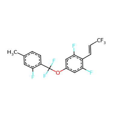 Cc1ccc(C(F)(F)Oc2cc(F)c(/C=C/C(F)(F)F)c(F)c2)c(F)c1